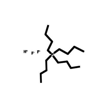 CCCC[P+](CCCC)(CCCC)CCCC.[F-].[F-].[H+]